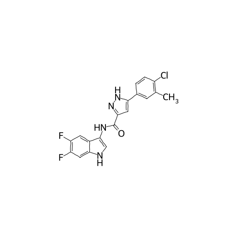 Cc1cc(-c2cc(C(=O)Nc3c[nH]c4cc(F)c(F)cc34)n[nH]2)ccc1Cl